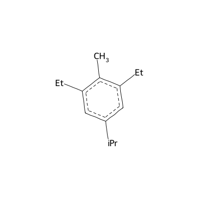 CCc1cc(C(C)C)cc(CC)c1C